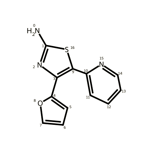 Nc1nc(-c2ccco2)c(-c2ccccn2)s1